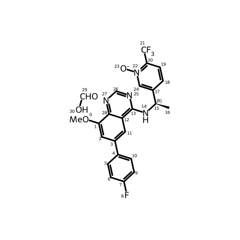 COc1cc(-c2ccc(F)cc2)cc2c(N[C@H](C)c3ccc(C(F)(F)F)[n+]([O-])c3)ncnc12.O=CO